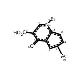 CCn1cc(C(=O)O)c(=O)c2cc(C(C)=O)ccc21